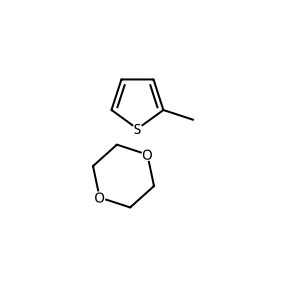 C1COCCO1.Cc1cccs1